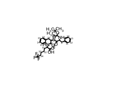 CC(C)(C)OC(=O)NC(Cc1ccccc1)C(=O)NC(Cc1ccccc1)C(=O)NC(CCCCC(F)(F)F)C(=O)O